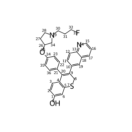 Oc1ccc2c(c1)SCC(c1ccc3ncccc3c1)=C2c1ccc(O[C@H]2CCN(CCCF)C2)cc1